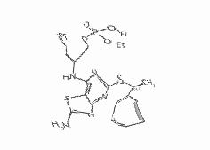 CCOP(=O)(OCC)OCC(CC(C)C)Nc1nc(S[C@@H](C)c2ccccc2)nc2nc(N)sc12